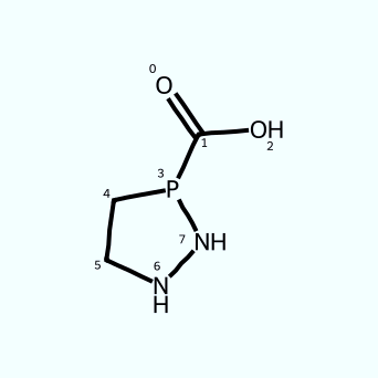 O=C(O)P1CCNN1